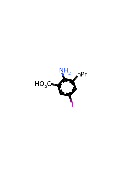 CCCc1cc(I)cc(C(=O)O)c1N